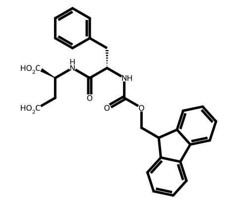 O=C(O)C[C@H](NC(=O)[C@H](Cc1ccccc1)NC(=O)OCC1c2ccccc2-c2ccccc21)C(=O)O